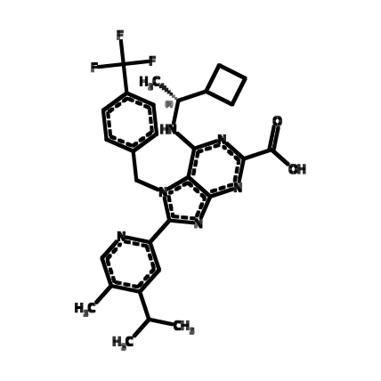 Cc1cnc(-c2nc3nc(C(=O)O)nc(N[C@H](C)C4CCC4)c3n2Cc2ccc(C(F)(F)F)cc2)cc1C(C)C